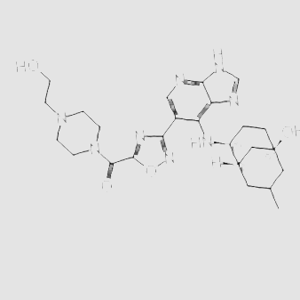 CC1C[C@H]2C[C@](O)(CC[C@@H]2Nc2c(-c3noc(C(=O)N4CCN(CCO)CC4)n3)cnc3[nH]cnc23)C1